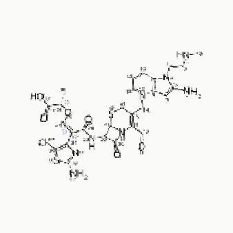 CNCCn1c(N)cc2c1ccc[n+]2CC1=C(C=O)N2C(=O)C(NC(=O)/C(=N\O[C@@H](C)C(=O)O)c3nc(N)sc3Cl)C2SC1